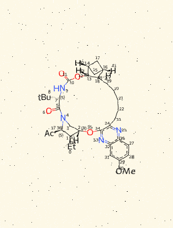 CC[C@@H]1[C@@H]2CN(C(=O)[C@H](C(C)(C)C)NC(=O)O[C@@H]3[C@H]4C[C@H](C4)[C@H]3CCCCCc3nc4ccc(OC)cc4nc3O2)[C@@H]1C(C)=O